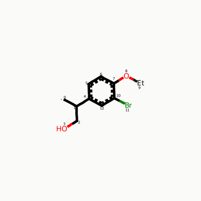 [CH2]C(CO)c1ccc(OCC)c(Br)c1